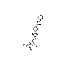 CC(C)(C)OC(=O)COc1cnc(N2CCN(CC(=O)OCc3ccccc3)CC2)nc1